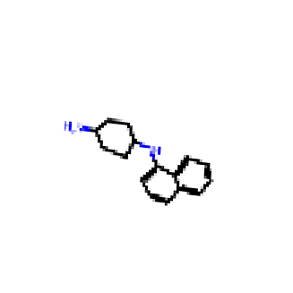 NC1CCC(Nc2cccc3ccccc23)CC1